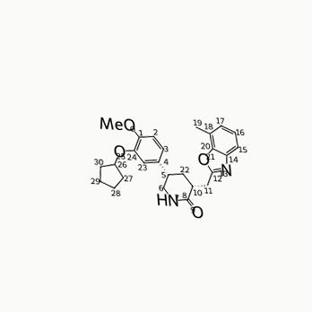 COc1ccc([C@H]2CNC(=O)[C@@H](Cc3nc4cccc(C)c4o3)C2)cc1OC1CCCC1